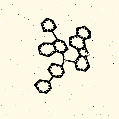 c1ccc(-c2ccc(N(c3ccc(-c4ccccc4)c4ccccc34)c3cccc4sc5c6ccccc6ccc5c34)cc2)cc1